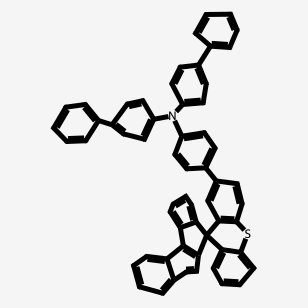 c1ccc(-c2ccc(N(c3ccc(-c4ccccc4)cc3)c3ccc(-c4ccc5c(c4)C4(c6ccccc6S5)c5ccccc5-c5c4ccc4ccccc54)cc3)cc2)cc1